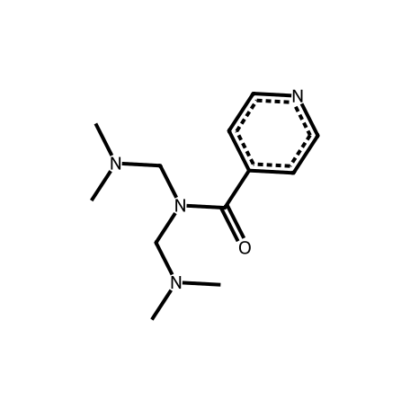 CN(C)CN(CN(C)C)C(=O)c1ccncc1